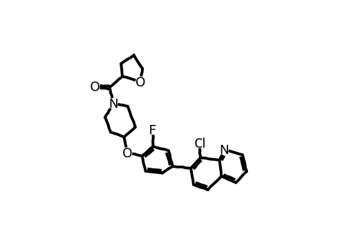 O=C(C1CCCO1)N1CCC(Oc2ccc(-c3ccc4cccnc4c3Cl)cc2F)CC1